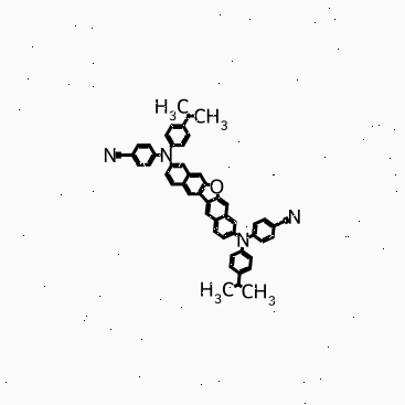 CC(C)c1ccc(N(c2ccc(C#N)cc2)c2ccc3cc4c(cc3c2)oc2cc3cc(N(c5ccc(C#N)cc5)c5ccc(C(C)C)cc5)ccc3cc24)cc1